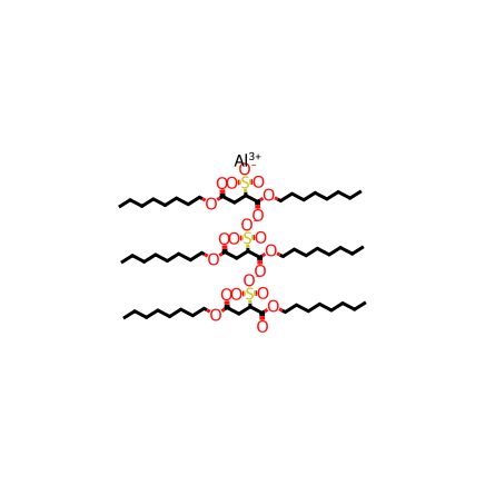 CCCCCCCCOC(=O)CC(C(=O)OCCCCCCCC)S(=O)(=O)[O-].CCCCCCCCOC(=O)CC(C(=O)OCCCCCCCC)S(=O)(=O)[O-].CCCCCCCCOC(=O)CC(C(=O)OCCCCCCCC)S(=O)(=O)[O-].[Al+3]